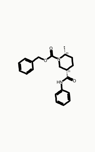 C[C@@H]1CC[C@H](C(=O)Nc2ccccc2)CN1C(=O)OCc1ccccc1